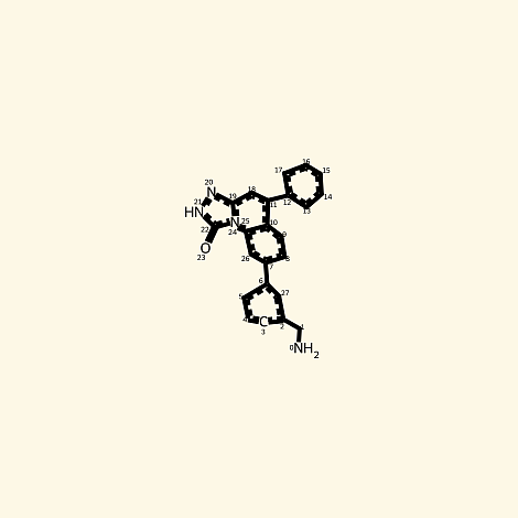 NCc1cccc(-c2ccc3c(-c4ccccc4)cc4n[nH]c(=O)n4c3c2)c1